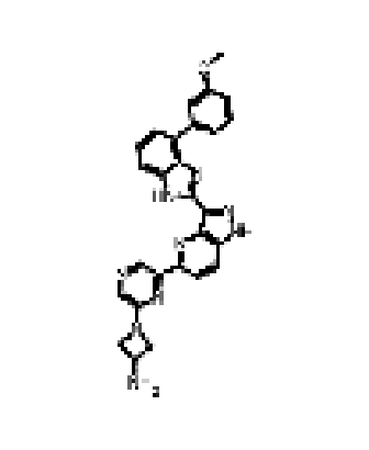 COc1cccc(-c2cccc3[nH]c(-c4n[nH]c5ccc(-c6cncc(N7CC(N)C7)n6)nc45)nc23)c1